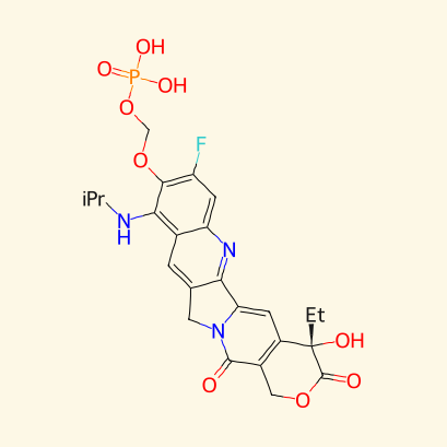 CC[C@@]1(O)C(=O)OCc2c1cc1n(c2=O)Cc2cc3c(NC(C)C)c(OCOP(=O)(O)O)c(F)cc3nc2-1